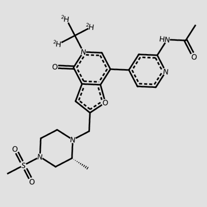 [2H]C([2H])([2H])n1cc(-c2ccnc(NC(C)=O)c2)c2oc(CN3CCN(S(C)(=O)=O)C[C@H]3C)cc2c1=O